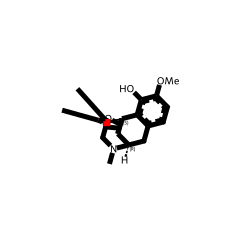 COc1ccc2c(c1O)[C@]13CCN(C)[C@H](C2)C1CCOC(C)C(C)OC3